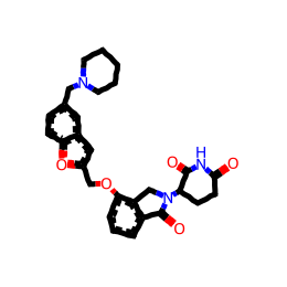 O=C1CCC(N2Cc3c(OCc4cc5cc(CN6CCCCC6)ccc5o4)cccc3C2=O)C(=O)N1